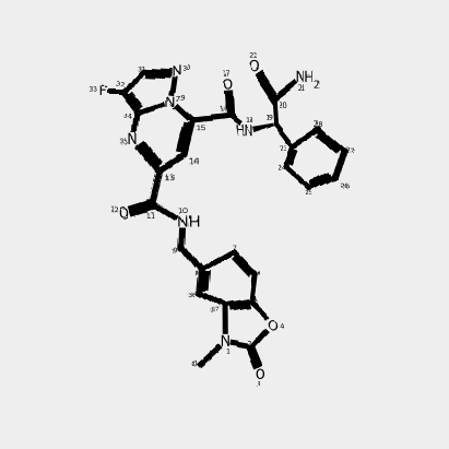 Cn1c(=O)oc2ccc(CNC(=O)c3cc(C(=O)N[C@@H](C(N)=O)c4ccccc4)n4ncc(F)c4n3)cc21